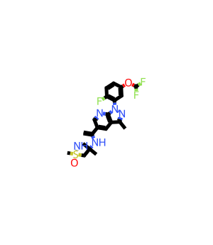 C=C(NC(C)(C)CS(C)(=N)=O)c1cnc2c(c1)c(C)nn2-c1cc(OC(F)F)ccc1F